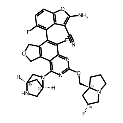 N#Cc1c(N)oc2ccc(F)c(-c3c4c(c5c(N6C[C@H]7C[C@@H]6CN7)nc(OC[C@@]67CCCN6C[C@H](F)C7)nc5c3F)COC4)c12